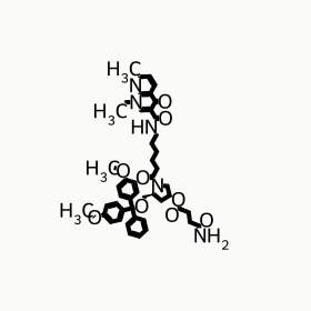 CCn1cc(C(=O)NCCCCCC(=O)N2C[C@H](OC(=O)CCC(N)=O)C[C@H]2COC(c2ccccc2)(c2ccc(OC)cc2)c2ccc(OC)cc2)c(=O)c2ccc(C)nc21